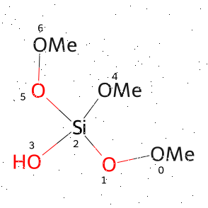 COO[Si](O)(OC)OOC